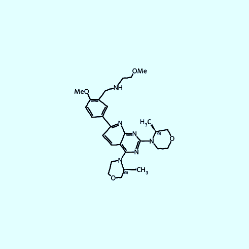 COCCNCc1cc(-c2ccc3c(N4CCOC[C@@H]4C)nc(N4CCOC[C@@H]4C)nc3n2)ccc1OC